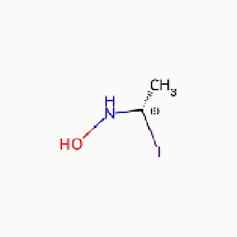 C[C@H](I)NO